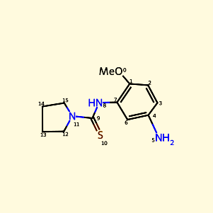 COc1ccc(N)cc1NC(=S)N1CCCC1